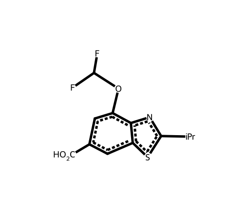 CC(C)c1nc2c(OC(F)F)cc(C(=O)O)cc2s1